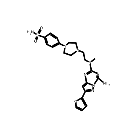 CN(CCN1CCN(c2ccc(S(N)(=O)=O)cc2)CC1)c1nc(N)n2nc(-c3ccco3)cc2n1